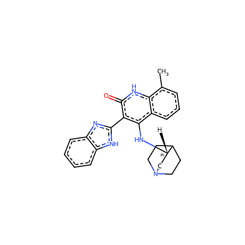 Cc1cccc2c(N[C@H]3CN4CCC3CC4)c(-c3nc4ccccc4[nH]3)c(=O)[nH]c12